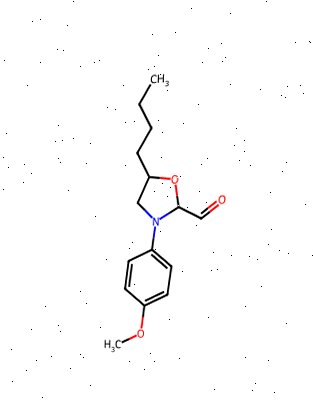 CCCCC1CN(c2ccc(OC)cc2)C(C=O)O1